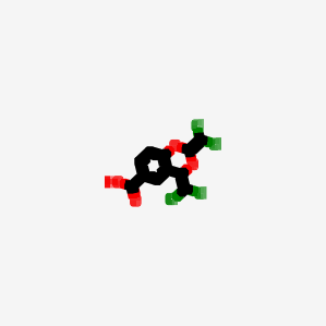 O=C(O)c1ccc2c(c1)C(=C(Cl)Cl)OC(=C(Cl)Cl)O2